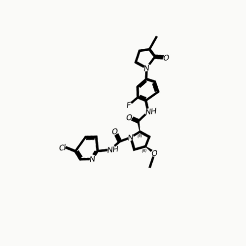 CO[C@@H]1C[C@H](C(=O)Nc2ccc(N3CCC(C)C3=O)cc2F)N(C(=O)Nc2ccc(Cl)cn2)C1